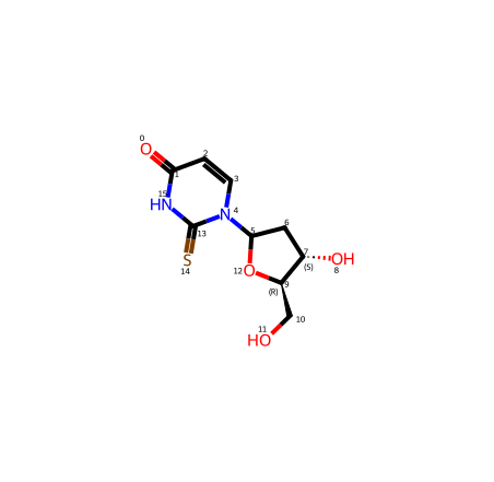 O=c1ccn(C2C[C@H](O)[C@@H](CO)O2)c(=S)[nH]1